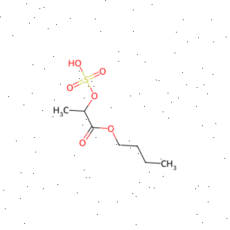 CCCCOC(=O)C(C)OS(=O)(=O)O